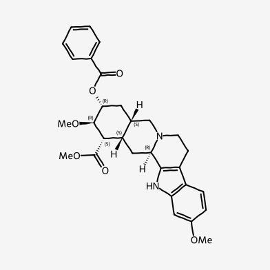 COC(=O)[C@H]1[C@H]2C[C@@H]3c4[nH]c5cc(OC)ccc5c4CCN3C[C@H]2C[C@@H](OC(=O)c2ccccc2)[C@@H]1OC